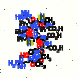 CC[C@H](C)[C@H](NC(=O)[C@H](CC(C)C)NC(=O)[C@H](CS)NC(=O)[C@H](CCCCN)NC(=O)[C@H](CCC(=O)O)NC(=O)[C@H](CCC(=O)O)NC(=O)[C@H](Cc1ccc(O)cc1)NC(=O)[C@H](C)NC(=O)[C@H](C)NC(=O)[C@@H](N)CCCNC(=N)N)C(=O)N[C@@H](CC(C)C)C(=O)N[C@@H](CCCNC(=N)N)C(=O)N[C@@H](CS)C(=O)N[C@@H](C)C(=O)N[C@H](C(=O)O)C(C)C